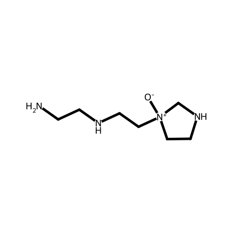 NCCNCC[N+]1([O-])CCNC1